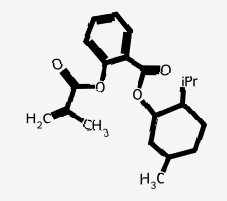 C=C(C)C(=O)Oc1ccccc1C(=O)OC1CC(C)CCC1C(C)C